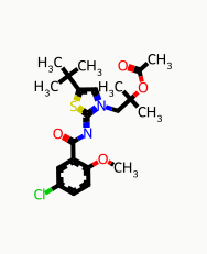 COc1ccc(Cl)cc1C(=O)N=c1sc(C(C)(C)C)cn1CC(C)(C)OC(C)=O